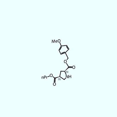 CCCOC(=O)[C@@H]1CN[C@H](C(=O)OCc2ccc(OC)cc2)C1